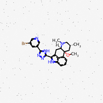 CO[C@]12C[C@@H](C)CN(C)[C@@H]1Cc1c(-c3nnc(-c4cncc(Br)c4)[nH]3)[nH]c3cccc2c13